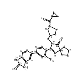 O=C(C1CC1)N1CCC(CN2C(=O)C3(CCCC3)N=C2c2ccc(-c3ccc4[nH]c(=O)[nH]c4c3)cc2F)C1